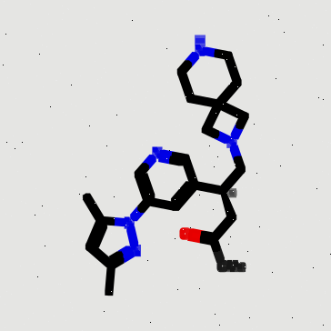 COC(=O)C[C@H](CN1CC2(CCNCC2)C1)c1cncc(-n2nc(C)cc2C)c1